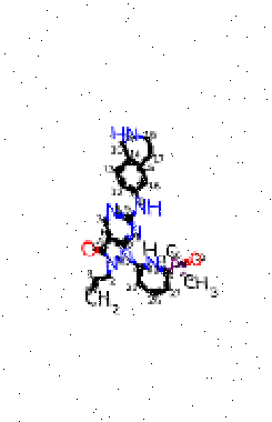 C=CCn1c(=O)c2cnc(Nc3ccc4c(c3)CCNC4)nc2n1-c1cccc(P(C)(C)=O)n1